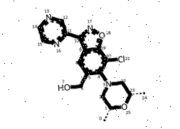 C[C@@H]1CN(c2c(CO)cc3c(-c4cnccn4)noc3c2Cl)C[C@H](C)O1